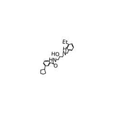 CCc1cccc(CNC[C@@H](O)CNC(=O)c2cccc(C3CCCC3)c2)c1